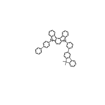 CC1(C)c2ccccc2-c2cc(-c3cccc(-n4c5ccccc5c5c6c7ccccc7n(-c7ccc(-c8ccccc8)cc7)c6ccc54)c3)ccc21